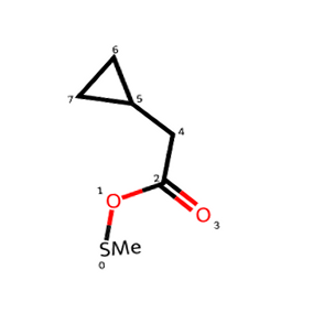 CSOC(=O)CC1CC1